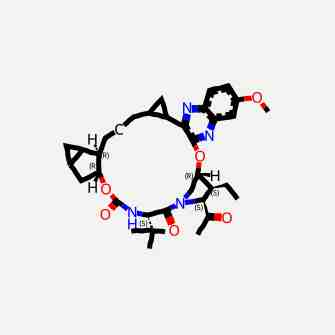 CC[C@@H]1[C@@H]2CN(C(=O)[C@H](C(C)(C)C)NC(=O)O[C@@H]3CC4CC4[C@H]3CCCC3CC3c3nc4ccc(OC)cc4nc3O2)[C@@H]1C(C)=O